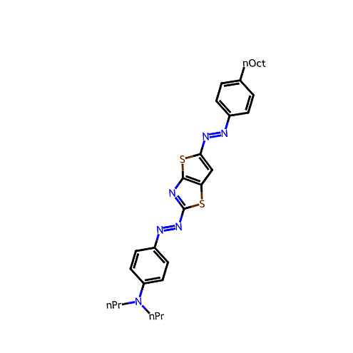 CCCCCCCCc1ccc(N=Nc2cc3sc(N=Nc4ccc(N(CCC)CCC)cc4)nc3s2)cc1